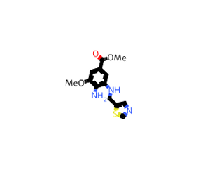 COC(=O)c1cc(NCc2cncs2)c(N)c(OC)c1